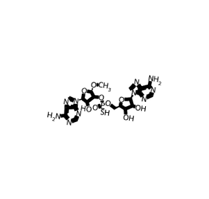 CO[C@H]1O[C@@H](n2cnc3c(N)ncnc32)C(O)C1OP(=O)(S)OC[C@H]1O[C@@H](n2cnc3c(N)ncnc32)C(O)C1O